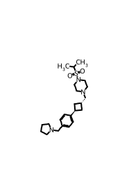 CC(C)S(=O)(=O)N1CCN(C[C@H]2C[C@H](c3ccc(CN4CCCC4)cc3)C2)CC1